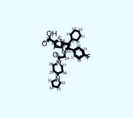 O=C(O)c1cc2c(s1)c(C1CCCCC1)c(-c1ccc(F)cc1)n2CC(=O)N1CCC(N2CCCC2)CC1